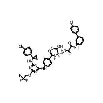 O=C(NC[C@H](NC(=O)c1ccc(Nc2nc(NC3(c4ccc(Cl)cc4)CC3)nc(OCC(F)(F)F)n2)cc1)C(=O)O)C(=O)Nc1cccc(-c2ccc(Cl)cc2)c1